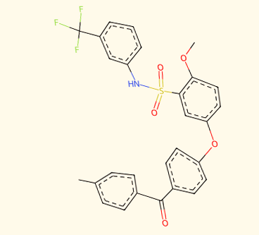 COc1ccc(Oc2ccc(C(=O)c3ccc(C)cc3)cc2)cc1S(=O)(=O)Nc1cccc(C(F)(F)F)c1